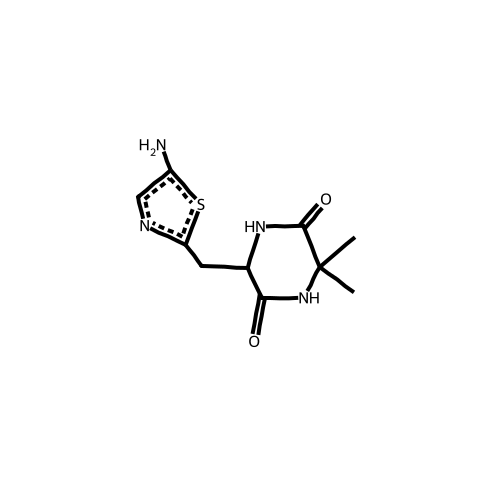 CC1(C)NC(=O)C(Cc2ncc(N)s2)NC1=O